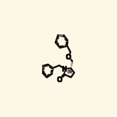 O=C1CC[C@@H](COCc2ccccc2)N1Cc1ccccc1